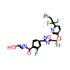 CC[C@@H](Oc1ccc(C(F)(F)CC(C)C)nc1)c1nc(-c2ccc(C(=O)NCCO)c(F)c2)no1